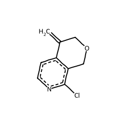 C=C1COCc2c1ccnc2Cl